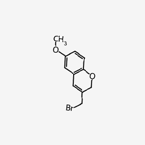 COc1ccc2c(c1)C=C(CBr)CO2